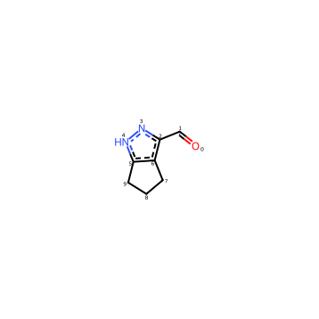 O=[C]c1n[nH]c2c1CCC2